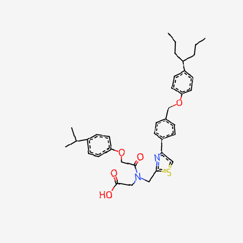 CCCC(CCC)c1ccc(OCc2ccc(-c3csc(CN(CC(=O)O)C(=O)COc4ccc(C(C)C)cc4)n3)cc2)cc1